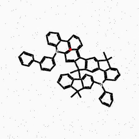 CC1(C)c2ccccc2-c2ccc(N(c3ccccc3)c3cccc4c3-c3cc5c(cc3C4(C)C)-c3ccc(N(c4cccc(-c6ccccc6)c4)c4ccccc4-c4ccccc4)cc3C5(C)C)cc21